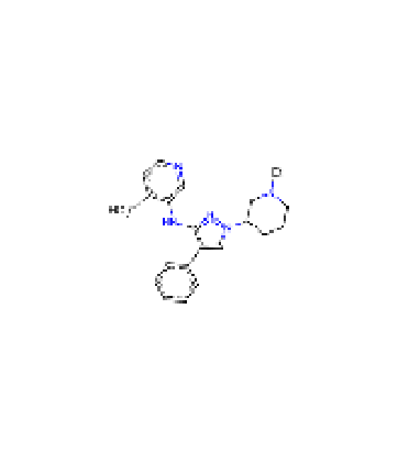 CCN1CCCC(n2cc(-c3ccccc3)c(Nc3cnccc3C(=O)O)n2)C1